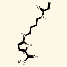 C=CC(=O)OCCCCOc1ccc(C(=O)OC)o1